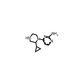 Nc1nccc(N2CCNCC2C2CC2)n1